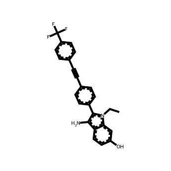 CCn1c(-c2ccc(C#Cc3ccc(C(F)(F)F)cc3)cc2)c(N)c2ccc(O)cc21